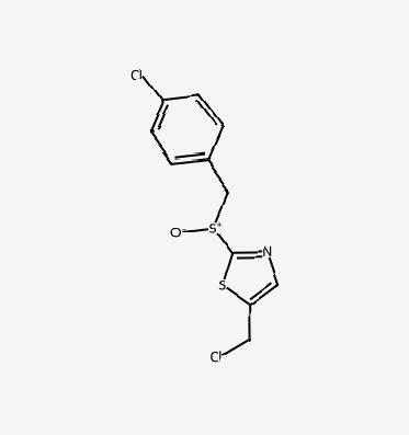 [O-][S+](Cc1ccc(Cl)cc1)c1ncc(CCl)s1